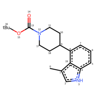 Cc1c[nH]c2cccc(C3CCN(C(=O)OC(C)(C)C)CC3)c12